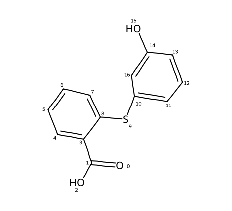 O=C(O)c1ccccc1Sc1cccc(O)c1